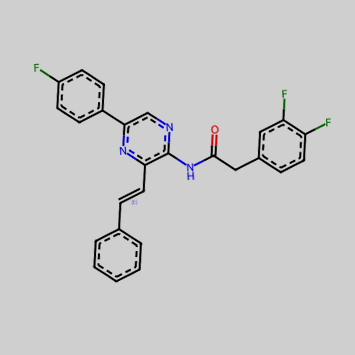 O=C(Cc1ccc(F)c(F)c1)Nc1ncc(-c2ccc(F)cc2)nc1/C=C/c1ccccc1